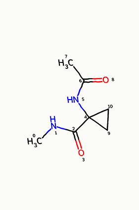 CNC(=O)C1(NC(C)=O)CC1